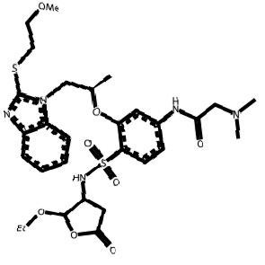 CCOC1OC(=O)CC1NS(=O)(=O)c1ccc(NC(=O)CN(C)C)cc1O[C@H](C)Cn1c(SCCOC)nc2ccccc21